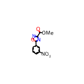 COC(=O)c1noc(-c2cccc([N+](=O)[O-])c2)n1